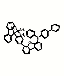 BC(B)(B)C1(c2ccc(-c3cccc4c3oc3c(N(c5ccccc5)c5ccc(-c6ccccc6)cc5)cccc34)cc2)c2ccccc2-c2ccccc21